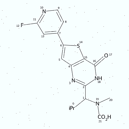 CC(C)C(c1nc2cc(-c3ccnc(F)c3)sc2c(=O)[nH]1)N(C)C(=O)O